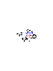 C=C(NC(=O)c1ccccc1C)N(CCC)CCC